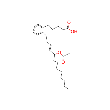 CCCCCCCCC(C=CCCc1ccccc1CCCCC(=O)O)OC(C)=O